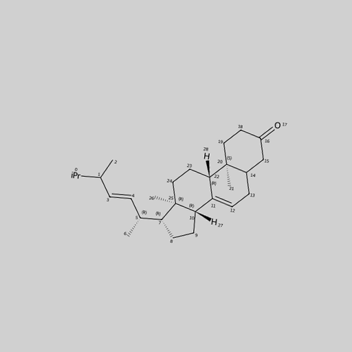 CC(C)C(C)C=C[C@@H](C)[C@H]1CC[C@H]2C3=CCC4CC(=O)CC[C@]4(C)[C@H]3CC[C@]12C